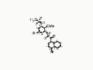 COc1c(NC(=O)C(=O)c2ccc(Br)c3ccccc23)cc(C(C)(C)C)cc1NS(C)(=O)=O